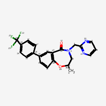 C[C@@H]1CN(Cc2ncccn2)C(=O)c2cc(-c3ccc(C(F)(F)F)cc3)ccc2O1